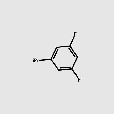 CC(C)c1cc(F)[c]c(F)c1